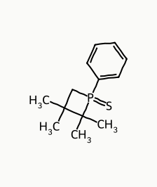 CC1(C)CP(=S)(c2ccccc2)C1(C)C